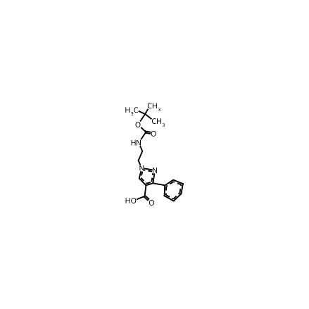 CC(C)(C)OC(=O)NCCn1cc(C(=O)O)c(-c2ccccc2)n1